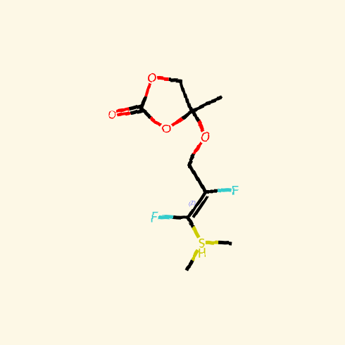 C[SH](C)/C(F)=C(\F)COC1(C)COC(=O)O1